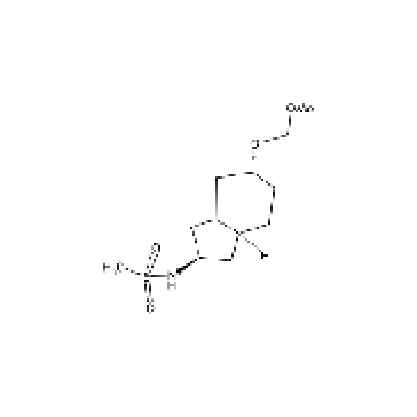 COCO[C@@H]1CC[C@H]2C[C@@H](NS(C)(=O)=O)CC2C1